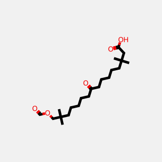 CC(C)(CCCCCC(=O)CCCCCC(C)(C)CC(=O)O)COC=O